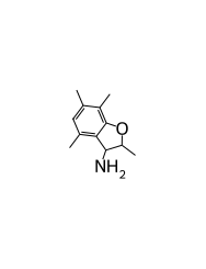 Cc1cc(C)c2c(c1C)OC(C)C2N